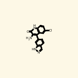 Nc1c(-c2ccc3cn[nH]c3c2)c2cc(Cl)ccc2[nH]c1=O